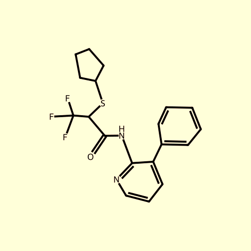 O=C(Nc1ncccc1-c1ccccc1)C(SC1CCCC1)C(F)(F)F